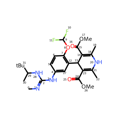 C/N=C(/Nc1ccc(OC(F)F)c(C2C(C(=O)OC)=C(C)NC(C)=C2C(=O)OC)c1)NC(C)C(C)(C)C